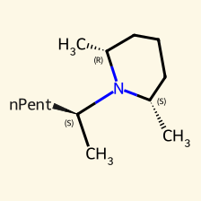 CCCCC[C@H](C)N1[C@H](C)CCC[C@@H]1C